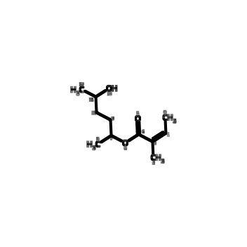 CC=C(C)C(=O)OC(C)CCC(C)O